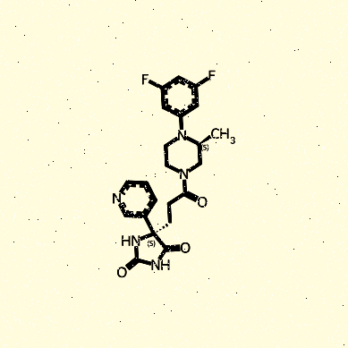 C[C@H]1CN(C(=O)CC[C@@]2(c3cccnc3)NC(=O)NC2=O)CCN1c1cc(F)cc(F)c1